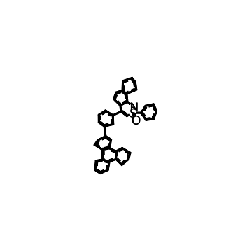 O=S1(c2ccccc2)=Nc2c(ccc3ccccc23)C(c2cccc(-c3ccc4c5ccccc5c5ccccc5c4c3)c2)=C1